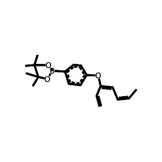 C=C/C(=C\C=C/C)Oc1ccc(B2OC(C)(C)C(C)(C)O2)cc1